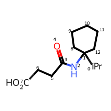 CC(C)C1(NC(=O)CCC(=O)O)CCCCC1